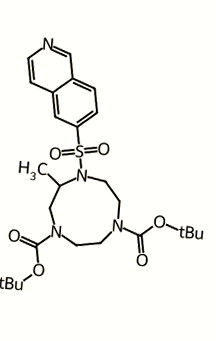 CC1CN(C(=O)OC(C)(C)C)CCN(C(=O)OC(C)(C)C)CCN1S(=O)(=O)c1ccc2cnccc2c1